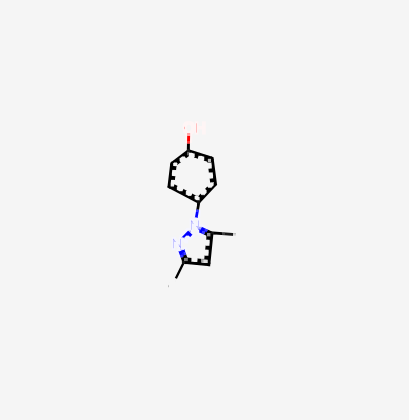 Cc1cc(C(F)(F)F)n(-c2ccc(O)cc2)n1